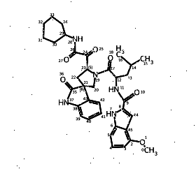 COc1cccc2[nH]c(C(=O)NC(CC(C)C)C(=O)N3C[C@]4(C[C@H]3C(=O)C(=O)NC3CCCCC3)C(=O)Nc3ccccc34)cc12